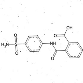 NS(=O)(=O)c1ccc(NC(=O)c2ccccc2C(=O)O)cc1